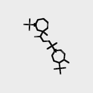 CC1CCN(C(C)(C)CCC(C)C2(C)CCCCN(C(C)(C)C)C2)CCC1C(C)(C)C